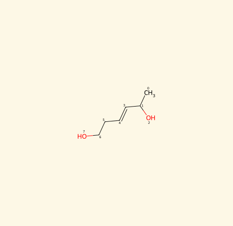 CC(O)C=CCCO